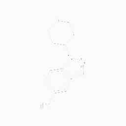 CC(C)c1ccc2c(cnn2C2CCOCC2)c1